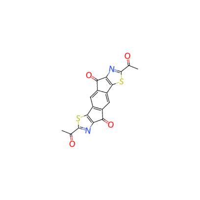 CC(=O)c1nc2c(=O)c3cc4c(cc3c2s1)c(=O)c1nc(C(C)=O)sc14